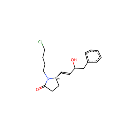 O=C1CC[C@H](C=CC(O)Cc2ccccc2)N1CCCCCl